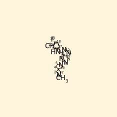 CN1CC2(CCN(c3ncc4ncnc(Nc5ccc(F)c(Cl)c5)c4n3)C2)C1